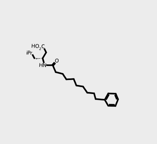 CC(C)C[C@H](CC(=O)O)NC(=O)CCCCCCCCCc1ccccc1